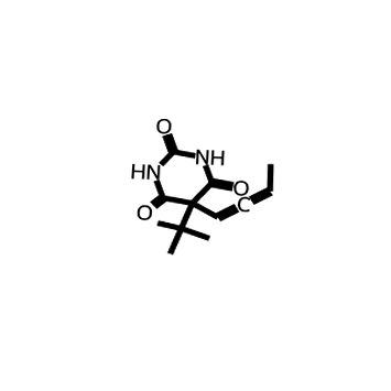 CC=C=CC1(C(C)(C)C)C(=O)NC(=O)NC1=O